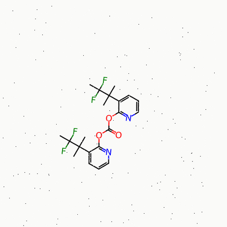 CC(F)(F)C(C)(C)c1cccnc1OC(=O)Oc1ncccc1C(C)(C)C(C)(F)F